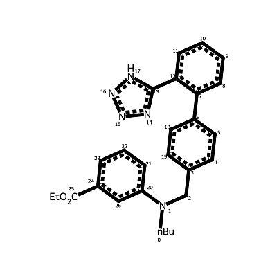 CCCCN(Cc1ccc(-c2ccccc2-c2nnn[nH]2)cc1)c1cccc(C(=O)OCC)c1